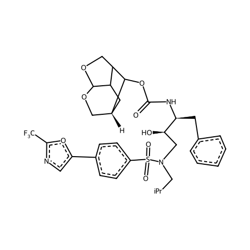 CC(C)CN(C[C@@H](O)[C@H](Cc1ccccc1)NC(=O)OC1C2COC3OC[C@H]1CC32)S(=O)(=O)c1ccc(-c2cnc(C(F)(F)F)o2)cc1